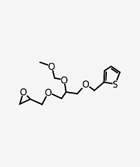 COCOC(COCc1cccs1)COCC1CO1